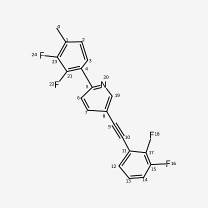 Cc1ccc(-c2ccc(C#Cc3cccc(F)c3F)cn2)c(F)c1F